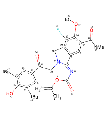 C=C(C)OC(=O)N=C1c2cc(C(=O)NC)c(OCC)c(F)c2CN1CC(=O)c1cc(C(C)(C)C)c(O)c(C(C)(C)C)c1